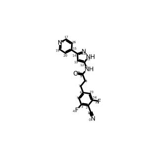 N#Cc1c(F)cc(CCC(=O)Nc2cc(-c3ccncc3)n[nH]2)cc1F